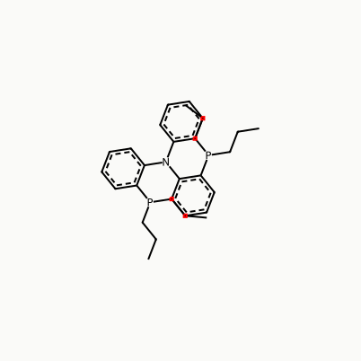 CCCP(CCC)c1ccccc1N(c1ccccc1)c1ccccc1P(CCC)CCC